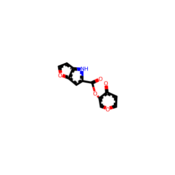 O=C(Oc1coccc1=O)c1cc2occc2[nH]1